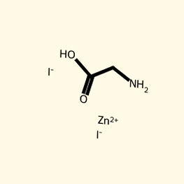 NCC(=O)O.[I-].[I-].[Zn+2]